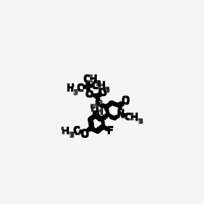 COc1cc(F)c(C2CN(C)C(=O)CC2NC(=O)OC(C)(C)C)c(F)c1